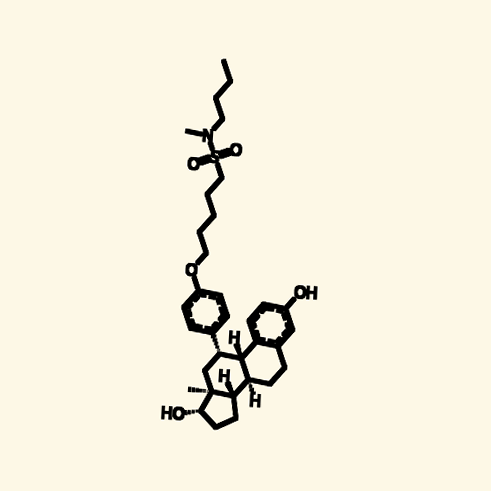 CCCCN(C)S(=O)(=O)CCCCCOc1ccc([C@H]2C[C@]3(C)[C@@H](O)CC[C@H]3[C@@H]3CCc4cc(O)ccc4[C@H]32)cc1